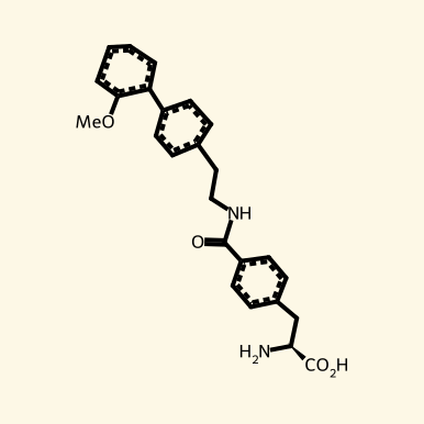 COc1ccccc1-c1ccc(CCNC(=O)c2ccc(C[C@H](N)C(=O)O)cc2)cc1